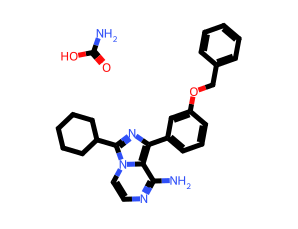 NC(=O)O.Nc1nccn2c(C3CCCCC3)nc(-c3cccc(OCc4ccccc4)c3)c12